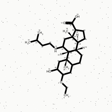 CCOC1CC2CC[C@@H]3[C@@H](C(NCCC(C)C)C[C@]4(C)C(C(=O)O)CC[C@@H]34)[C@@]2(C)CC1O